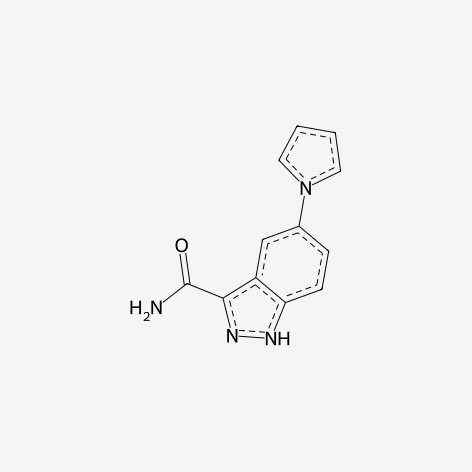 NC(=O)c1n[nH]c2ccc(-n3cccc3)cc12